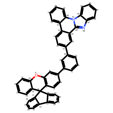 c1cc(-c2ccc3c(c2)Oc2ccccc2C32c3ccccc3-c3ccccc32)cc(-c2ccc3c4ccccc4n4c5ccccc5nc4c3c2)c1